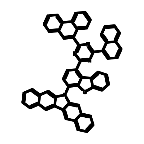 c1ccc2cc3c(cc2c1)c1cc2ccccc2cc1n3-c1ccc(-c2nc(-c3cccc4ccccc34)nc(-c3cc4ccccc4c4ccccc34)n2)c2c1oc1ccccc12